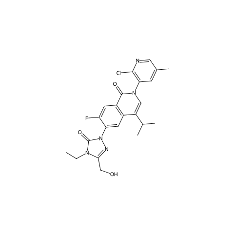 CCn1c(CO)nn(-c2cc3c(C(C)C)cn(-c4cc(C)cnc4Cl)c(=O)c3cc2F)c1=O